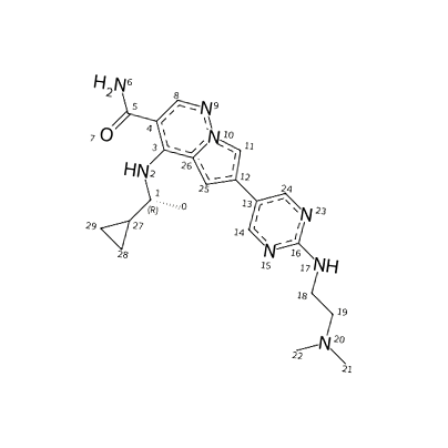 C[C@@H](Nc1c(C(N)=O)cnn2cc(-c3cnc(NCCN(C)C)nc3)cc12)C1CC1